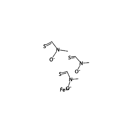 CN([O-])C=S.CN([O-])C=S.CN([O-])C=S.[Fe+3]